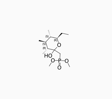 CC[C@H]1OC(O)(CP(=O)(OC)OC)[C@H](C)[C@@H](C)[C@@H]1C